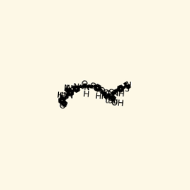 Cc1nc(CCC(=O)NCCOc2ccc(OCC(=O)N[C@H](C(=O)N3C[C@H](O)C[C@H]3C(=O)NCc3ccc(-c4scnc4C)cc3)C(C)(C)C)cc2)ccc1-c1cnc(NCc2c(F)ccc3c2CCO3)n2cnnc12